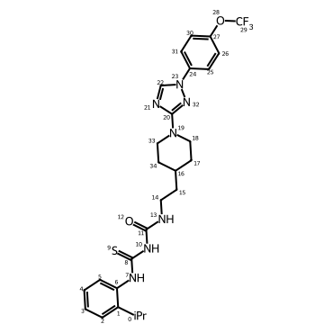 CC(C)c1ccccc1NC(=S)NC(=O)NCCC1CCN(c2ncn(-c3ccc(OC(F)(F)F)cc3)n2)CC1